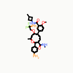 CNC(=O)c1ccc(-c2ccc(OC)c(C(=O)NC3CC(C)C3)c2)c(OCC(F)(F)P)cc(C)oc1-c1ccc(P)cc1